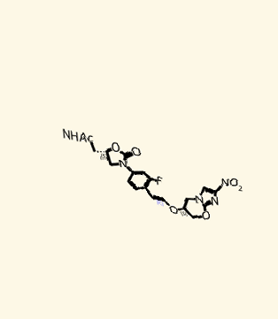 CC(=O)NC[C@H]1CN(c2ccc(/C=C/O[C@@H]3COc4nc([N+](=O)[O-])cn4C3)c(F)c2)C(=O)O1